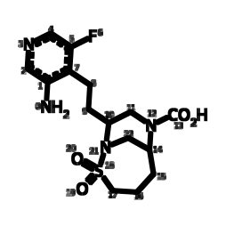 Nc1cncc(F)c1CCC1CN(C(=O)O)C2CCCS(=O)(=O)N1C2